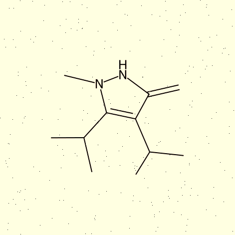 C=C1NN(C)C(C(C)C)=C1C(C)C